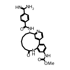 COC(=O)Nc1ccc2c(c1)NC(=O)CCCCC[C@H](NC(=O)c1ccc(C(=N)N)cc1)c1cc-2ccn1